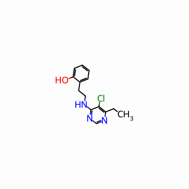 CCc1ncnc(NCCc2ccccc2O)c1Cl